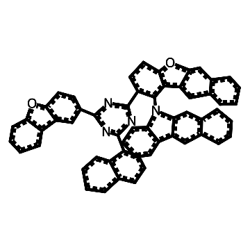 c1ccc2cc3c(cc2c1)oc1ccc(-c2nc(-c4ccc5oc6ccccc6c5c4)nc(-c4cccc5ccccc45)n2)c(-n2c4ccccc4c4cc5ccccc5cc42)c13